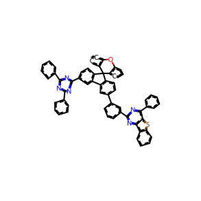 c1ccc(-c2nc(-c3ccccc3)nc(-c3ccc4c(c3)-c3cc(-c5cccc(-c6nc(-c7ccccc7)c7sc8ccccc8c7n6)c5)ccc3C43c4ccccc4Oc4ccccc43)n2)cc1